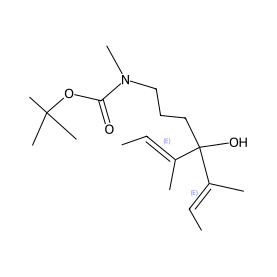 C/C=C(\C)C(O)(CCCN(C)C(=O)OC(C)(C)C)/C(C)=C/C